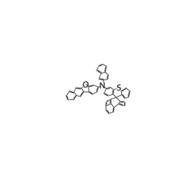 c1ccc2c(c1)Sc1cc(N(c3ccc4ccccc4c3)c3ccc4c(c3)oc3cc5ccccc5cc34)ccc1C21c2ccccc2-c2cccc3cccc1c23